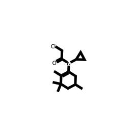 CC1=C(N(C(=O)CCl)C2CC2)CC(C)CC1(C)C